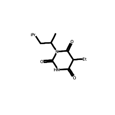 CCC1C(=O)NC(=O)N(C(C)CC(C)C)C1=O